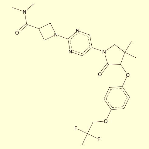 CN(C)C(=O)C1CN(c2ncc(N3CC(C)(C)C(Oc4ccc(OCC(C)(F)F)cc4)C3=O)cn2)C1